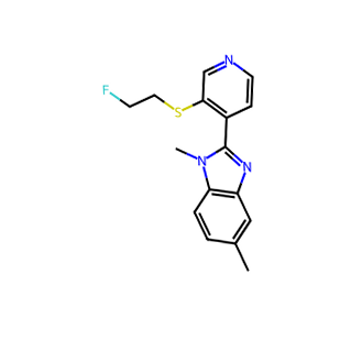 Cc1ccc2c(c1)nc(-c1ccncc1SCCF)n2C